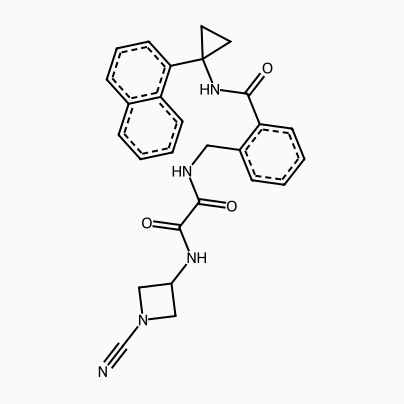 N#CN1CC(NC(=O)C(=O)NCc2ccccc2C(=O)NC2(c3cccc4ccccc34)CC2)C1